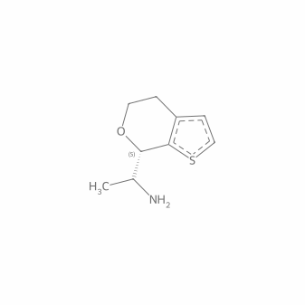 CC(N)[C@@H]1OCCc2ccsc21